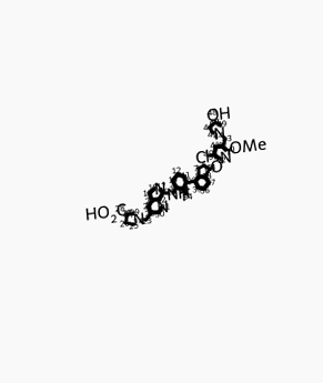 COc1nc(O[C@@H]2CCc3c(-c4cccc(Nc5nccc6cc(CN7CC[C@@H](C(=O)O)C7)cnc56)c4F)cccc32)c(Cl)cc1CN1CC[C@@H](O)C1